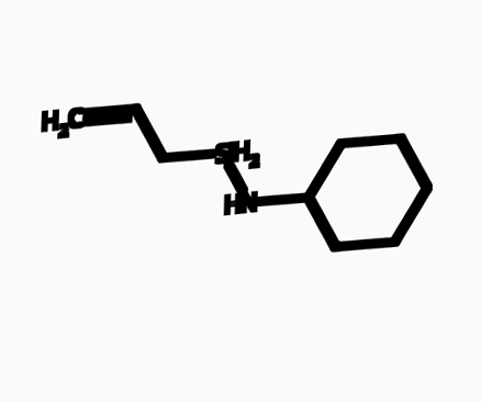 C=CC[SiH2]NC1CCCCC1